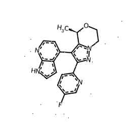 C[C@H]1OCCn2nc(-c3ccc(F)cn3)c(-c3ccnc4[nH]ccc34)c21